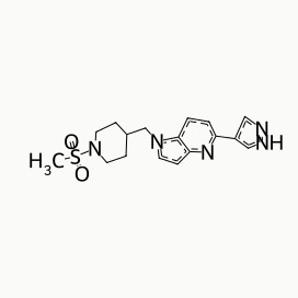 CS(=O)(=O)N1CCC(Cn2ccc3nc(-c4cn[nH]c4)ccc32)CC1